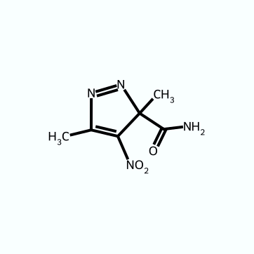 CC1=C([N+](=O)[O-])C(C)(C(N)=O)N=N1